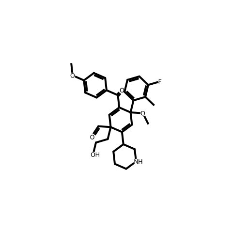 COc1ccc(C(=O)C2=CC(C=O)(CCO)C(C3CCCNC3)=CC2(OC)c2cccc(F)c2C)cc1